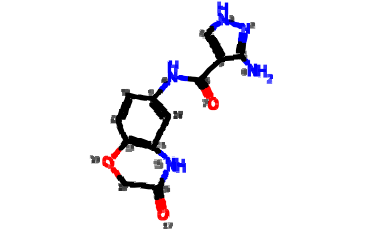 Nc1n[nH]cc1C(=O)Nc1ccc2c(c1)NC(=O)CO2